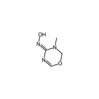 CN1COC=NC1=NO